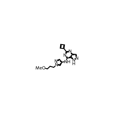 COCCCn1cc(Nc2nc(C3=CC=C3)nc3cn[nH]c23)cn1